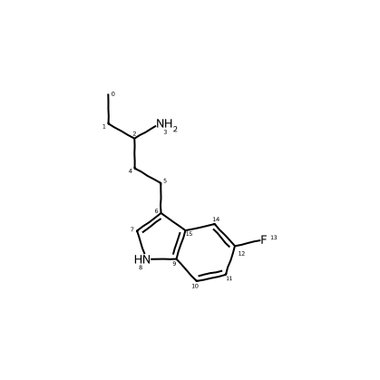 CCC(N)CCc1c[nH]c2ccc(F)cc12